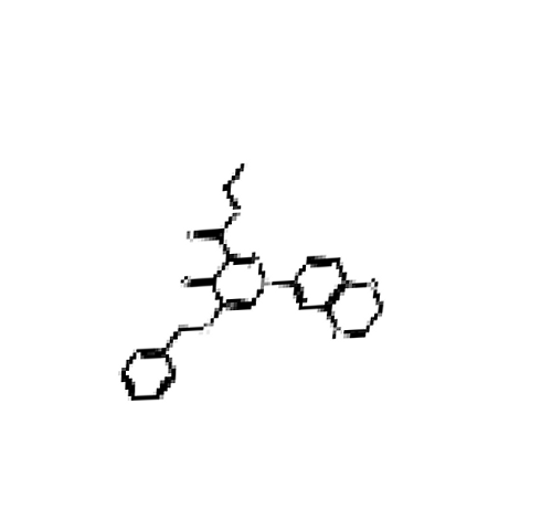 CCOC(=O)c1nn(-c2ccc3c(c2)OCCO3)cc(OCc2ccccc2)c1=O